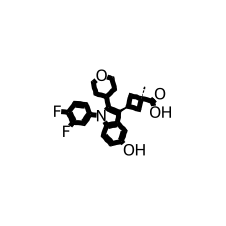 C[C@]1(C(=O)O)C[C@@H](c2c(C3CCOCC3)n(-c3ccc(F)c(F)c3)c3ccc(O)cc32)C1